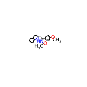 COc1ccc([C@@H](Cc2ccc3ccccc3n2)NC(C)=O)cc1